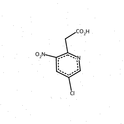 O=C(O)Cc1ncc(Cl)cc1[N+](=O)[O-]